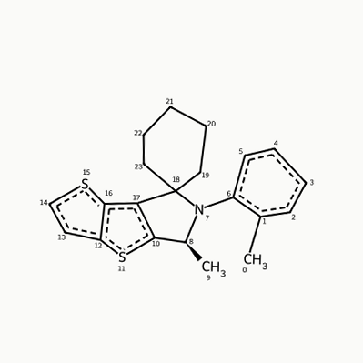 Cc1ccccc1N1[C@@H](C)c2sc3ccsc3c2C12CCCCC2